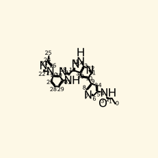 CCC(=O)Nc1cncc(-c2cnc3[nH]nc(-c4nc5c(-n6cnc(C)c6)cccc5[nH]4)c3c2)c1